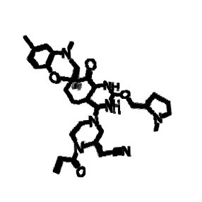 C=CC(=O)N1CCN(C2NC(OCC3CCCN3C)NC3C(=O)[C@@]4(CCC32)CN(C)c2cc(C)ccc2O4)CC1CC#N